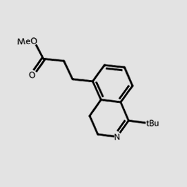 COC(=O)CCc1cccc2c1CCN=C2C(C)(C)C